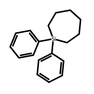 c1ccc([Si]2(c3ccccc3)CCCCCC2)cc1